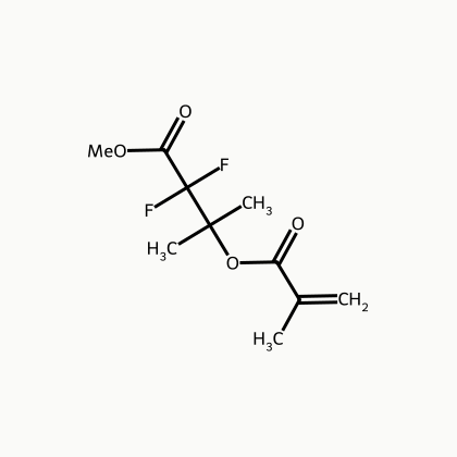 C=C(C)C(=O)OC(C)(C)C(F)(F)C(=O)OC